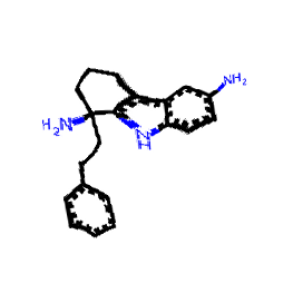 Nc1ccc2[nH]c3c(c2c1)CCCC3(N)CCc1ccccc1